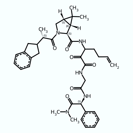 C=CCCC(NC(=O)[C@@H]1[C@@H]2[C@H](CN1C(=O)[C@@H](C)C1Cc3ccccc3C1)C2(C)C)C(=O)C(=O)NCC(=O)N[C@H](C(=O)N(C)C)c1ccccc1